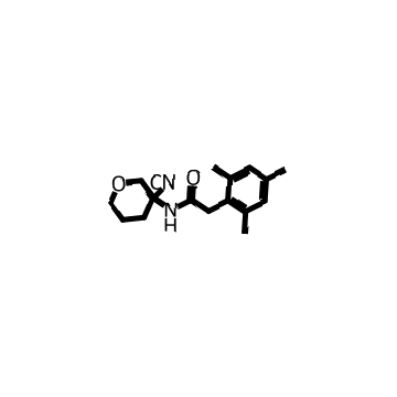 Cc1cc(C)c(CC(=O)NC2(C#N)CCCOC2)c(C)c1